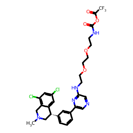 CN1Cc2c(Cl)cc(Cl)cc2[C@H](c2cccc(-c3cncc(NCCOCCOCCNC(=O)OC(=O)C(F)(F)F)n3)c2)C1